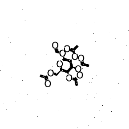 CC(=O)OC[C@H]1O[C@@H](OC=O)[C@H](OC(C)=O)[C@@H](OC(C)=O)[C@@H]1OC(C)=O